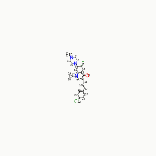 CCN1CCN(c2cc3c(cc2F)c(=O)c(CC=Cc2ccc(Cl)cc2)cn3C2CC2)CC1